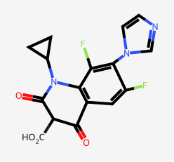 O=C(O)C1C(=O)c2cc(F)c(-n3ccnc3)c(F)c2N(C2CC2)C1=O